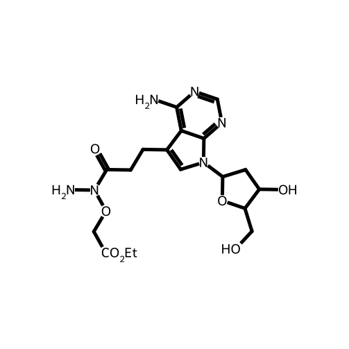 CCOC(=O)CON(N)C(=O)CCc1cn(C2CC(O)C(CO)O2)c2ncnc(N)c12